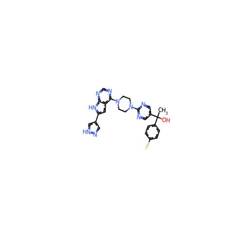 CC(O)(c1ccc(F)cc1)c1cnc(N2CCN(c3ncnc4[nH]c(-c5cn[nH]c5)cc34)CC2)nc1